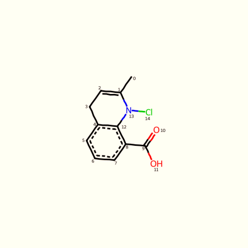 CC1=CCc2cccc(C(=O)O)c2N1Cl